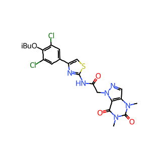 CC(C)COc1c(Cl)cc(-c2csc(NC(=O)Cn3ncc4c3c(=O)n(C)c(=O)n4C)n2)cc1Cl